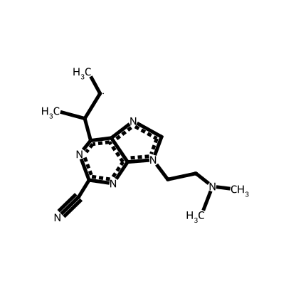 C[CH]C(C)c1nc(C#N)nc2c1ncn2CCN(C)C